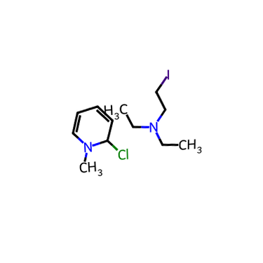 CCN(CC)CCI.CN1C=CC=CC1Cl